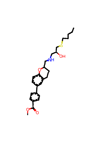 CCCCCSCC(O)CNCC1CCc2cc(-c3ccc(C(=O)OC)cc3)ccc2O1